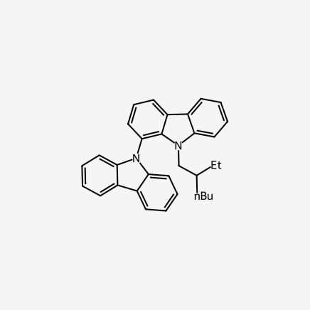 CCCCC(CC)Cn1c2ccccc2c2cccc(-n3c4ccccc4c4ccccc43)c21